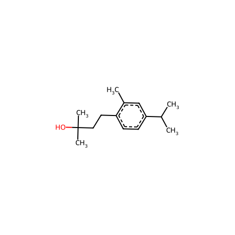 Cc1cc(C(C)C)ccc1CCC(C)(C)O